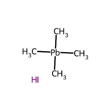 I.[CH3][Pb]([CH3])([CH3])[CH3]